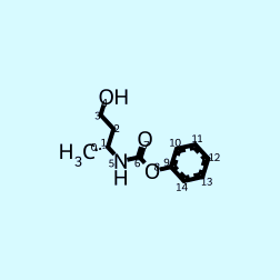 C[C@H](CCO)NC(=O)Oc1ccccc1